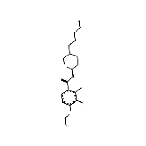 CCCCCC1CCC(CC(=O)c2ccc(OCC)c(F)c2C)OC1